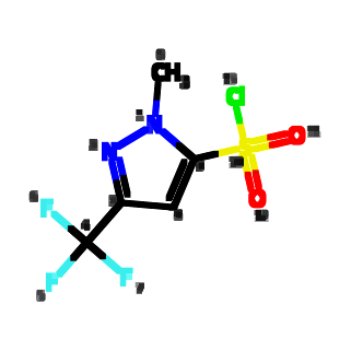 Cn1nc(C(F)(F)F)cc1S(=O)(=O)Cl